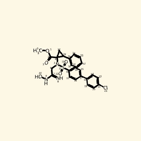 COC(=O)C1(N(CC(=N)NO)S(=O)(=O)c2ccc(-c3ccc(Cl)cc3)cc2)CC1c1ccccc1